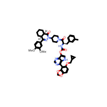 COc1ccc(C2=NN(C3CCN(C(=O)[C@@H](Cc4cccc(C)c4)NC(=O)Oc4c[nH]c5c(-c6c(OCC7CC7)ccc7c6OCO7)ncnc45)CC3)C(=O)[C@@H]3CCCC[C@H]23)cc1OC